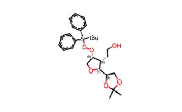 CC1(C)OC[C@H]([C@H]2OC[C@H](OO[Si](c3ccccc3)(c3ccccc3)C(C)(C)C)[C@@H]2CCO)O1